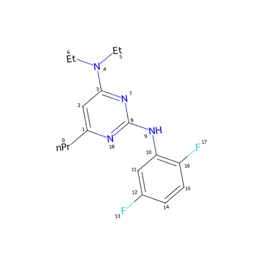 CCCc1cc(N(CC)CC)nc(Nc2cc(F)ccc2F)n1